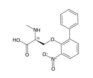 CN[C@@H](COc1c(-c2ccccc2)cccc1[N+](=O)[O-])C(=O)O